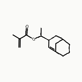 C=C(C)C(=O)OC(C)C1C=C2CCCC(C2)C1